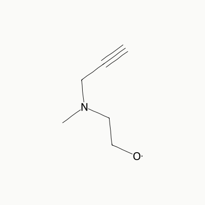 C#CCN(C)CC[O]